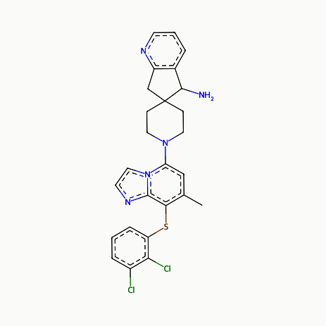 Cc1cc(N2CCC3(CC2)Cc2ncccc2C3N)n2ccnc2c1Sc1cccc(Cl)c1Cl